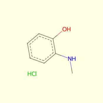 CNc1ccccc1O.Cl